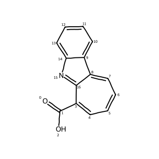 O=C(O)c1ccccc2c3ccccc3nc1-2